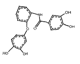 O=C(Nc1ccccc1Oc1ccc(O)c(O)c1)c1ccc(O)c(O)c1